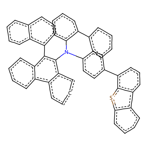 c1ccc(-c2ccccc2N(c2ccc(-c3cccc4c3sc3ccccc34)cc2)c2c(-c3cccc4ccccc34)c3ccccc3c3ccccc23)cc1